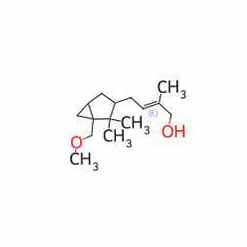 COCC12CC1CC(C/C=C(\C)CO)C2(C)C